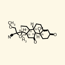 COCC1(C#N)O[C@@]12CC[C@H]1[C@@H]3CCC4=CC(=O)CC[C@]4(C)[C@H]3C(=O)C[C@@]12C